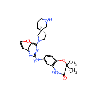 CC1(C)Oc2ccc(Nc3nc(N4CC[C@@]5(CCCNC5)C4)c4occc4n3)cc2NC1=O